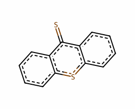 S=c1c2ccccc2sc2ccccc12